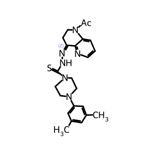 CC(=O)N1CC/C(=N/NC(=S)N2CCN(c3cc(C)cc(C)c3)CC2)c2ncccc21